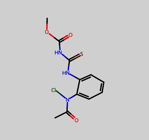 COC(=O)NC(=S)Nc1ccccc1N(Cl)C(C)=O